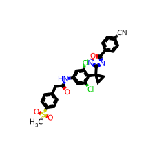 CS(=O)(=O)c1ccc(CC(=O)Nc2cc(Cl)c(C3(c4noc(-c5ccc(C#N)cc5)n4)CC3)c(Cl)c2)cc1